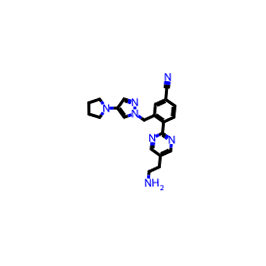 N#Cc1ccc(-c2ncc(CCN)cn2)c(Cn2cc(N3CCCC3)cn2)c1